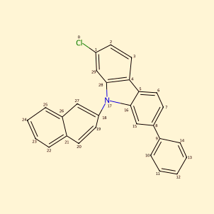 Clc1ccc2c3ccc(-c4ccccc4)cc3n(-c3ccc4ccccc4c3)c2c1